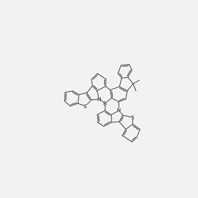 CC1(C)c2ccccc2-c2c1cc1c3c2-c2cccc4c5c6ccccc6sc5n(c24)B3c2cccc3c4c5ccccc5sc4n-1c23